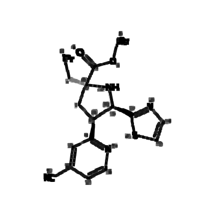 CC(C)C[C@@]1(C(=O)OC(C)(C)C)C[C@H](c2cc(C#N)ccn2)[C@H](c2nccs2)N1